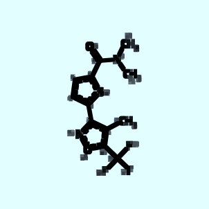 Cc1c(-c2ccc(C(=O)N(C)C)s2)noc1C(F)(F)F